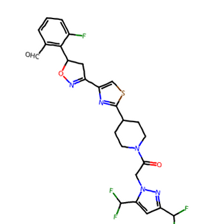 O=Cc1cccc(F)c1C1CC(c2csc(C3CCN(C(=O)Cn4nc(C(F)F)cc4C(F)F)CC3)n2)=NO1